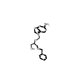 Nc1ncc2c(ncn2COC(CO)COCc2ccccc2)n1